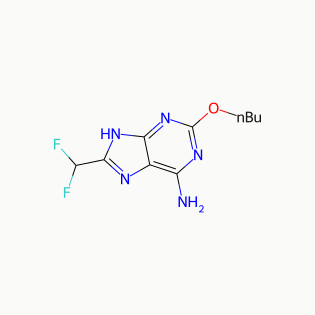 CCCCOc1nc(N)c2nc(C(F)F)[nH]c2n1